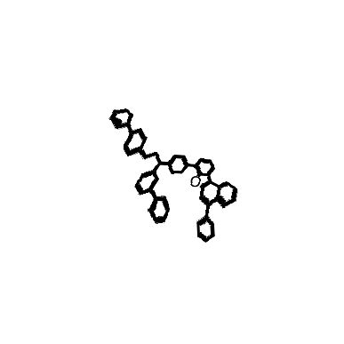 C1=C(c2cccc3c2oc2cc(-c4ccccc4)c4ccccc4c23)CCC(C(CCc2ccc(-c3ccccc3)cc2)c2cccc(-c3ccccc3)c2)=C1